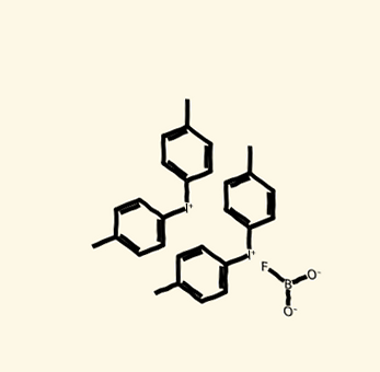 Cc1ccc([I+]c2ccc(C)cc2)cc1.Cc1ccc([I+]c2ccc(C)cc2)cc1.[O-]B([O-])F